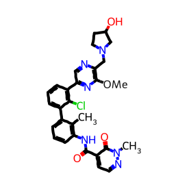 COc1nc(-c2cccc(-c3cccc(NC(=O)c4ccnn(C)c4=O)c3C)c2Cl)cnc1CN1CCC(O)C1